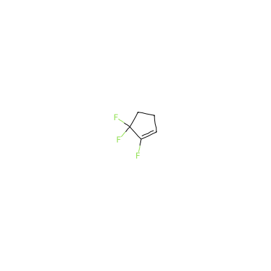 FC1=CCCC1(F)F